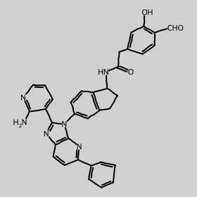 Nc1ncccc1-c1nc2ccc(-c3ccccc3)nc2n1-c1ccc2c(c1)CCC2NC(=O)Cc1ccc(C=O)c(O)c1